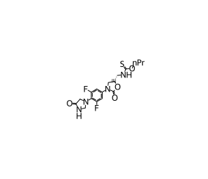 CCCOC(=S)NC[C@H]1CN(c2cc(F)c(N3CNC(=O)C3)c(F)c2)C(=O)O1